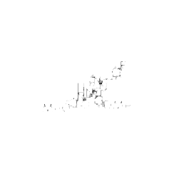 COc1ccc(NC(=O)[C@@H](NC(=O)[C@@H]2CCCN2C(=O)CCc2ccc(F)cc2)c2ccc(OC)cc2)cc1